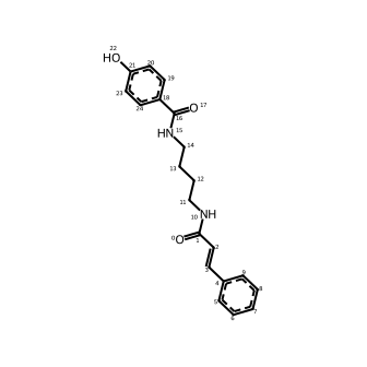 O=C(C=Cc1ccccc1)NCCCCNC(=O)c1ccc(O)cc1